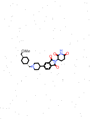 COC[C@H]1CC[C@H](CN2CCC(c3ccc4c(c3)C(=O)N(C3CCC(=O)NC3=O)C4=O)CC2)CC1